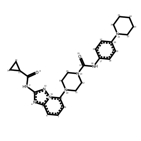 O=C(Nc1nc2cccc(N3CCN(C(=O)Nc4ccc(N5CCCCC5)cc4)CC3)n2n1)C1CC1